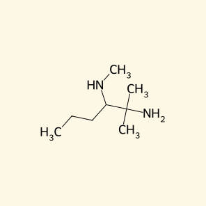 CCCC(NC)C(C)(C)N